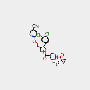 CC1(C(=O)N2CCC(C(=O)N3CC(CCOc4ccc(C#N)cn4)C(c4ccc(Cl)c(Cl)c4)C3)CC2)CC1